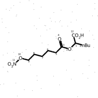 CCCCC(OC(=O)CCCCCO[N+](=O)[O-])C(=O)O